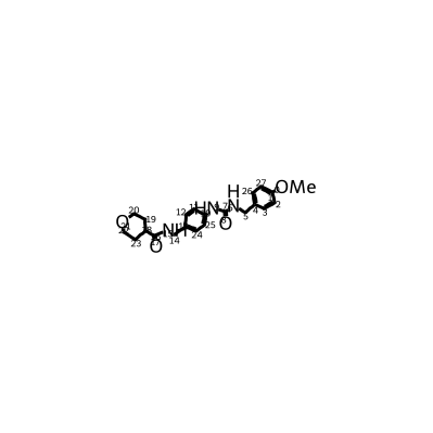 COc1ccc(CNC(=O)Nc2ccc(CNC(=O)C3CCOCC3)cc2)cc1